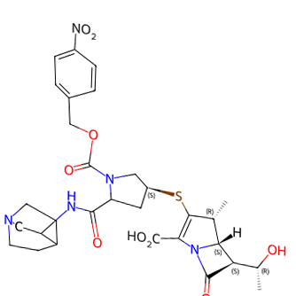 C[C@@H](O)[C@H]1C(=O)N2C(C(=O)O)=C(S[C@H]3CC(C(=O)NC4CN5CCC4CC5)N(C(=O)OCc4ccc([N+](=O)[O-])cc4)C3)[C@H](C)[C@H]12